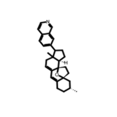 C[C@@H]1CCC2=CC3=CCC4(C)C(c5ccc6ccncc6c5)CC[C@H]4[C@@]34CC[C@]2(C1)O4